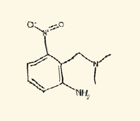 CN(C)Cc1c(N)cccc1[N+](=O)[O-]